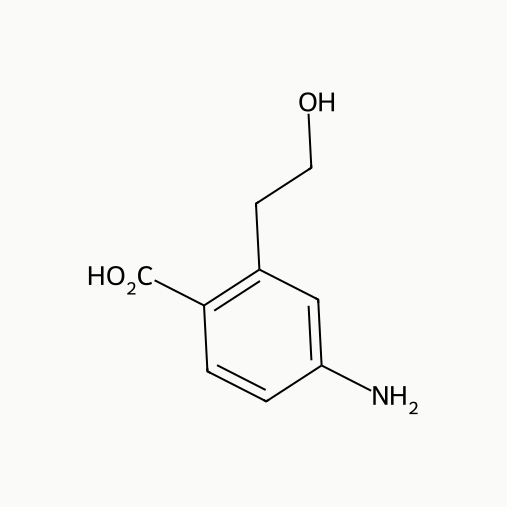 Nc1ccc(C(=O)O)c(CCO)c1